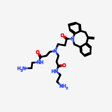 C=C1Cc2ccccc2N(C(=O)CCN(CCC(=O)NCCN)CCC(=O)NCCN)Cc2ccccc21